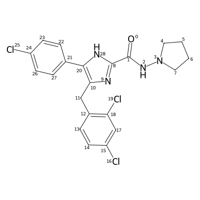 O=C(NN1CCCC1)c1nc(Cc2ccc(Cl)cc2Cl)c(-c2ccc(Cl)cc2)[nH]1